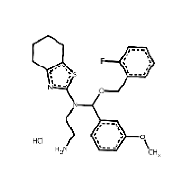 COc1cccc(C(OCc2ccccc2F)N(CCN)c2nc3c(s2)CCCC3)c1.Cl